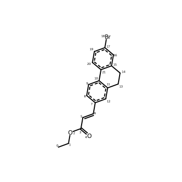 CCOC(=O)C=Cc1ccc2c(c1)CCc1cc(Br)ccc1-2